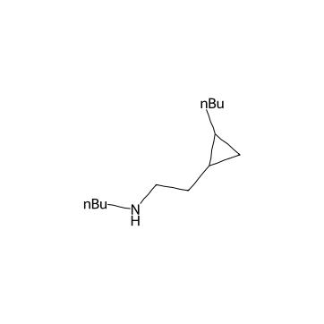 CCCCNCCC1CC1CCCC